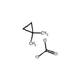 CC1(C)CC1.O=C(Cl)Cl